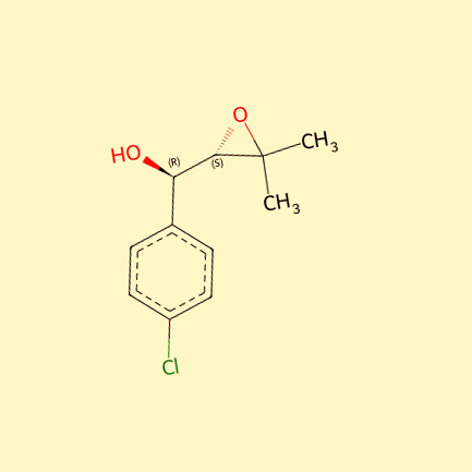 CC1(C)O[C@H]1[C@H](O)c1ccc(Cl)cc1